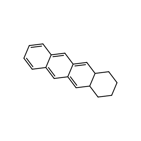 C1=c2cc3ccccc3cc2=CC2CCCCC12